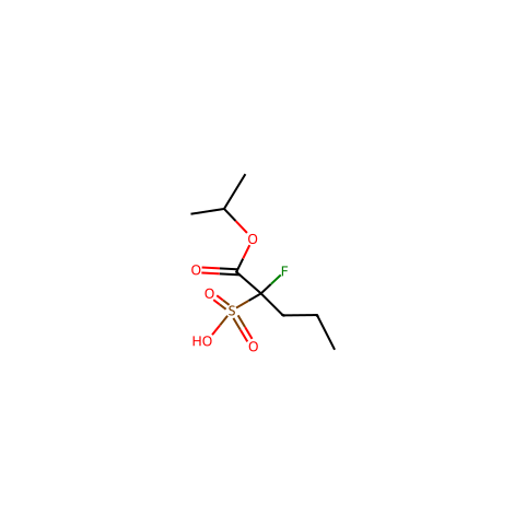 CCCC(F)(C(=O)OC(C)C)S(=O)(=O)O